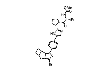 COC(=O)N[C@H](C(=O)N1CCC[C@H]1c1ncc(-c2ccc(-c3sc(Br)c4c3C3CCC3C4)cc2)[nH]1)C(C)C